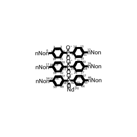 CCCCCCCCCc1ccc(P(=O)([O-])c2ccc(CCCCCCCCC)cc2)cc1.CCCCCCCCCc1ccc(P(=O)([O-])c2ccc(CCCCCCCCC)cc2)cc1.CCCCCCCCCc1ccc(P(=O)([O-])c2ccc(CCCCCCCCC)cc2)cc1.[Nd+3]